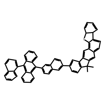 CC1(C)c2ccc(-c3ccc4cc(-c5c6ccccc6c(-c6cccc7ccccc67)c6ccccc56)ccc4c3)cc2-c2cc3c4c(ccc3cc21)C1C=CC=CC1S4